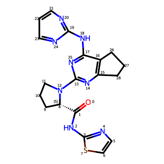 O=C(Nc1nccs1)[C@@H]1CCCN1c1nc2c(c(Nc3ncccn3)n1)CCC2